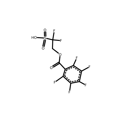 O=C(OCC(F)(F)S(=O)(=O)O)c1c(F)c(F)c(F)c(F)c1F